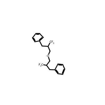 FC(F)(F)C(COCC(Cc1ccccc1)C(F)(F)F)Cc1ccccc1